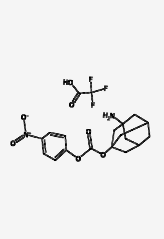 NC12CC3CC(C1)CC(OC(=O)Oc1ccc([N+](=O)[O-])cc1)(C3)C2.O=C(O)C(F)(F)F